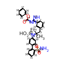 CCC(C)(Cc1cccc(C(=N)NC(=O)Oc2ccccc2)c1)N(C(=O)O)c1ccc(-c2ccccc2S(N)(=O)=O)cc1